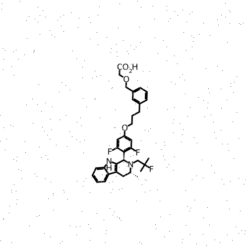 C[C@@H]1Cc2c([nH]c3ccccc23)[C@@H](c2c(F)cc(OCCCc3cccc(COCC(=O)O)c3)cc2F)N1CC(C)(C)F